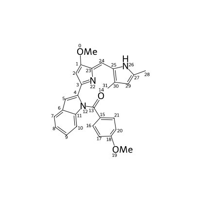 COC1=CC(c2cc3ccccc3n2C(=O)c2ccc(OC)cc2)=N/C1=C\c1[nH]c(C)cc1C